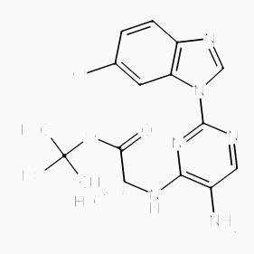 C[C@@H](Nc1nc(-n2cnc3ccc(Cl)cc32)ncc1N)C(=O)OC(C)(C)C